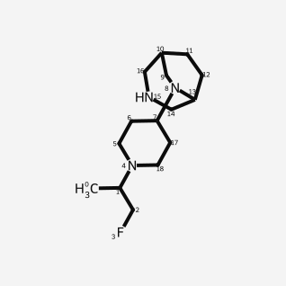 CC(CF)N1CCC(N2CC3CCC2CNC3)CC1